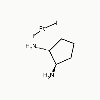 N[C@@H]1CCC[C@H]1N.[I][Pt][I]